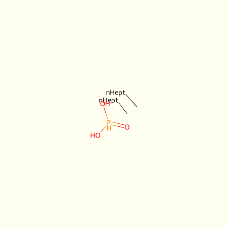 CCCCCCCC.CCCCCCCC.O=[PH](O)O